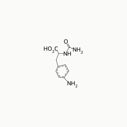 NC(=O)NC(Cc1ccc(N)cc1)C(=O)O